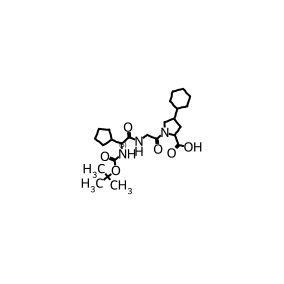 CC(C)(C)OC(=O)N[C@H](C(=O)NCC(=O)N1CC(C2CCCCC2)CC1C(=O)O)C1CCCC1